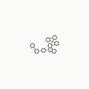 c1ccc(-c2cccc(-c3ccc(-c4nc5ccccc5c5c6c(ccc45)C4(c5ccccc5-c5ccccc54)c4ccccc4-6)cc3)c2)nc1